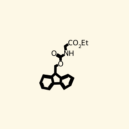 CCOC(=O)CNC(=O)OCC1c2ccccc2-c2ccccc21